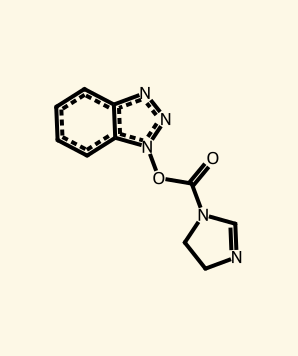 O=C(On1nnc2ccccc21)N1C=NCC1